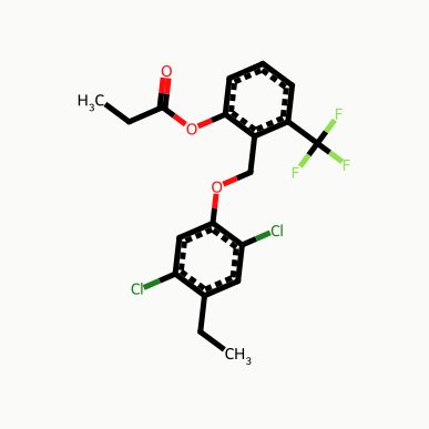 CCC(=O)Oc1cccc(C(F)(F)F)c1COc1cc(Cl)c(CC)cc1Cl